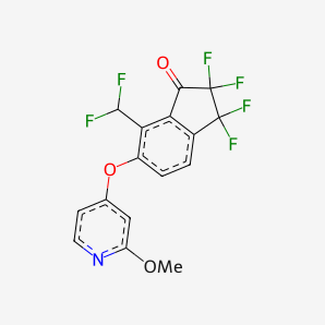 COc1cc(Oc2ccc3c(c2C(F)F)C(=O)C(F)(F)C3(F)F)ccn1